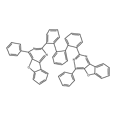 c1ccc(-c2nc(-c3ccccc3-c3ccccc3-c3ccccc3-c3nc(-c4ccccc4)c4oc5ccccc5c4n3)nc3c2oc2ccccc23)cc1